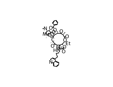 CC[C@H]1OC(=O)[C@H](C)C(=O)[C@H](C)[C@@H](OC2O[C@H](C)C[C@H](N(C)C)[C@H]2OC(=O)c2ccccc2)[C@@](C)(OC)C[C@@H](C)C(=O)[C@H](C)[C@@H]2C1OC(=O)N2NCCCc1ccnc2ccccc12